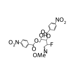 CON=CC(F)C(OC(=O)c1ccc([N+](=O)[O-])cc1)C(O)COC(=O)c1ccc([N+](=O)[O-])cc1